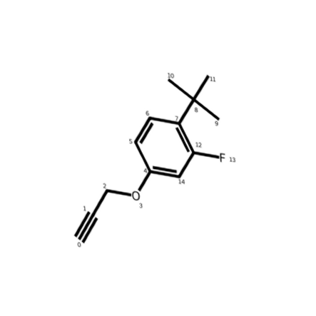 C#CCOc1ccc(C(C)(C)C)c(F)c1